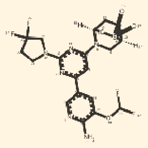 Nc1ncc(-c2cc(N3C[C@@H]4CC[C@H]3CS4(=O)=O)nc(N3CCC(F)(F)C3)n2)cc1OC(F)F